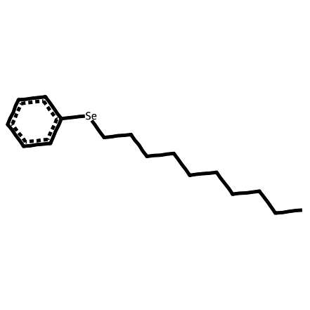 CCCCCCCCCC[Se]c1ccccc1